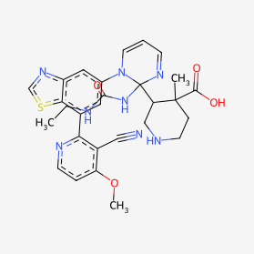 CCNC(=O)NC1(C2CNCCC2(C)C(=O)O)N=CC=CN1c1cc(-c2nccc(OC)c2C#N)c2scnc2c1